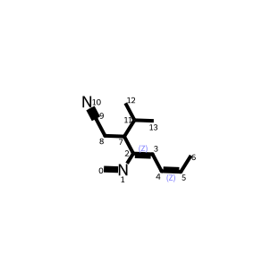 C=N/C(=C\C=C/C)C(CC#N)C(C)C